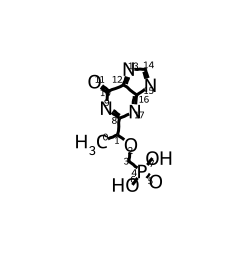 CC(OCP(=O)(O)O)C1=NC(=O)C2=NC=NC2=N1